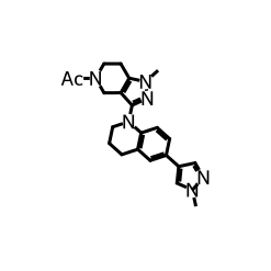 CC(=O)N1CCc2c(c(N3CCCc4cc(-c5cnn(C)c5)ccc43)nn2C)C1